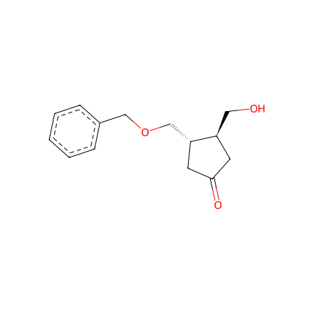 O=C1C[C@H](CO)[C@@H](COCc2ccccc2)C1